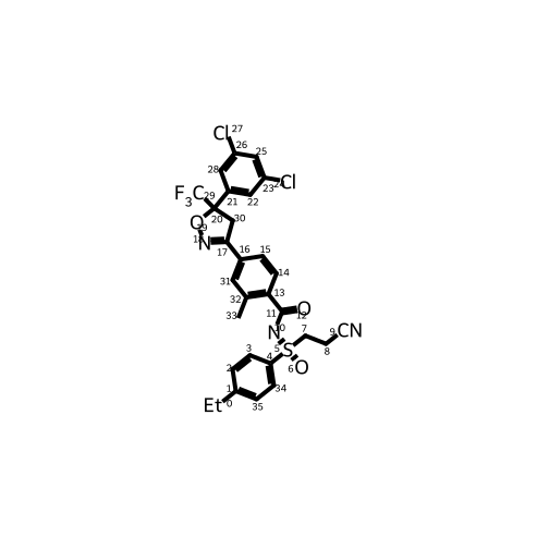 CCc1ccc(S(=O)(CCC#N)=NC(=O)c2ccc(C3=NOC(c4cc(Cl)cc(Cl)c4)(C(F)(F)F)C3)cc2C)cc1